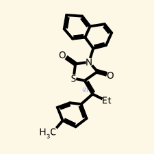 CC/C(=C1/SC(=O)N(c2cccc3ccccc23)C1=O)c1ccc(C)cc1